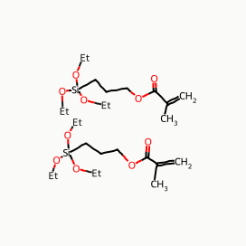 C=C(C)C(=O)OCCC[Si](OCC)(OCC)OCC.C=C(C)C(=O)OCCC[Si](OCC)(OCC)OCC